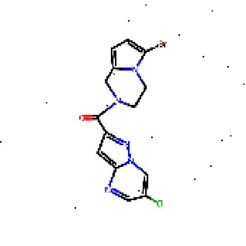 O=C(c1cc2ncc(Cl)cn2n1)N1CCn2c(Br)ccc2C1